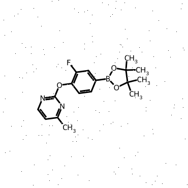 Cc1ccnc(Oc2ccc(B3OC(C)(C)C(C)(C)O3)cc2F)n1